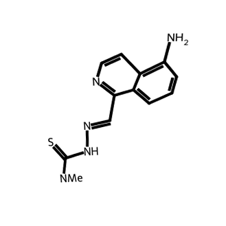 CNC(=S)NN=Cc1nccc2c(N)cccc12